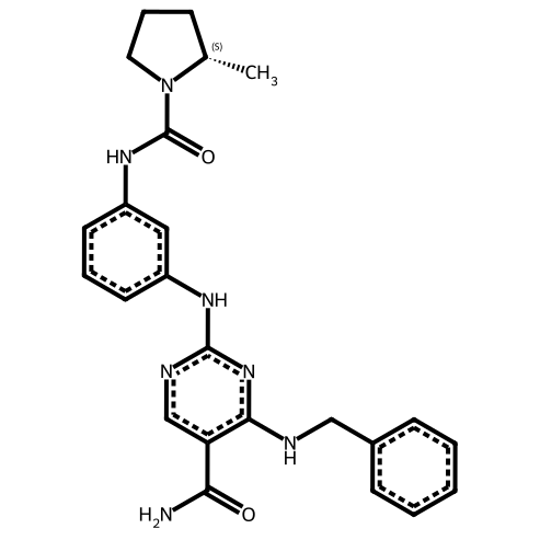 C[C@H]1CCCN1C(=O)Nc1cccc(Nc2ncc(C(N)=O)c(NCc3ccccc3)n2)c1